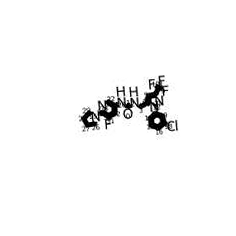 O=C(NCc1cc(C(F)(F)F)nn1-c1cccc(Cl)c1)Nc1cnc(N2CCCC2)c(F)c1